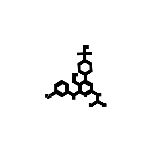 CCC(CC)Nc1nc(Nc2cccc(C(F)(F)F)c2)c(C=N)c(N2CCC(C(C)(C)O)CC2)n1